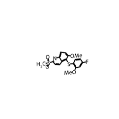 COc1cc(F)ccc1Sc1c(OC)ccc2nc(S(C)(=O)=O)ccc12